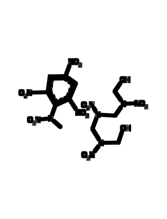 CN(c1c([N+](=O)[O-])cc([N+](=O)[O-])cc1[N+](=O)[O-])[N+](=O)[O-].O=[N+]([O-])N(CO)CN(CN(CO)[N+](=O)[O-])[N+](=O)[O-]